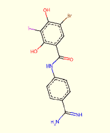 N=C(N)c1ccc(NC(=O)c2cc(Br)c(O)c(I)c2O)cc1